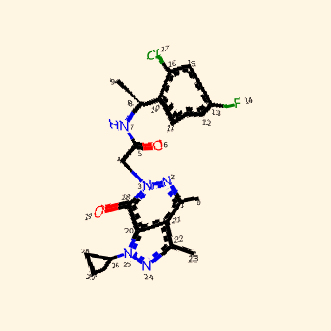 Cc1nn(CC(=O)N[C@@H](C)c2ccc(F)cc2Cl)c(=O)c2c1c(C)nn2C1CC1